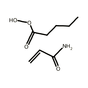 C=CC(N)=O.CCCCC(=O)OO